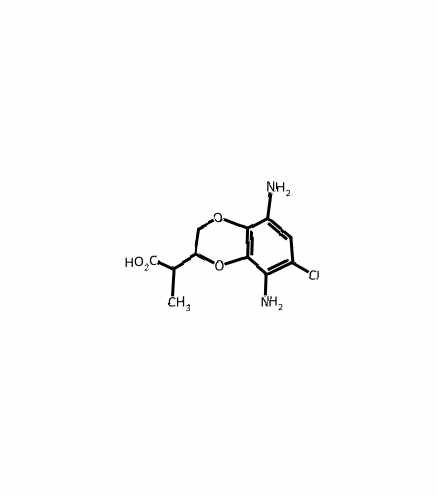 CC(C(=O)O)C1COc2c(N)cc(Cl)c(N)c2O1